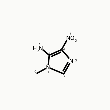 Cn1cnc([N+](=O)[O-])c1N